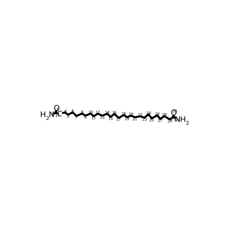 NC(=O)CCCCCCCCCCCCCCCCCCCCCCCCCCCC(N)=O